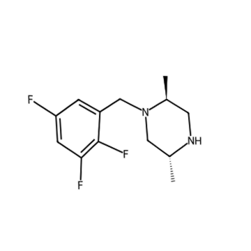 C[C@@H]1CN(Cc2cc(F)cc(F)c2F)[C@@H](C)CN1